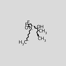 CC#CC[C@H](C)[C@@H](O)/C=C/[C@H]1CC(F)(F)C(=O)N1[CH]CCCCC[CH]C